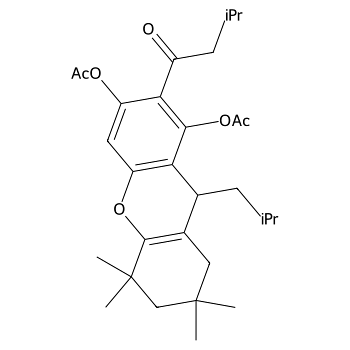 CC(=O)Oc1cc2c(c(OC(C)=O)c1C(=O)CC(C)C)C(CC(C)C)C1=C(O2)C(C)(C)CC(C)(C)C1